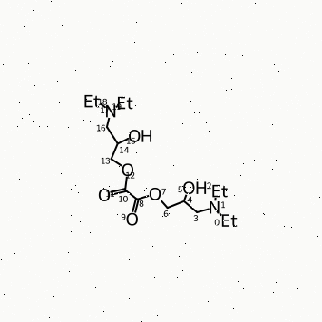 CCN(CC)CC(O)COC(=O)C(=O)OCC(O)CN(CC)CC